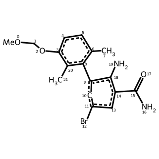 COCOc1ccc(C)c(-c2cc(Br)cc(C(N)=O)c2N)c1C